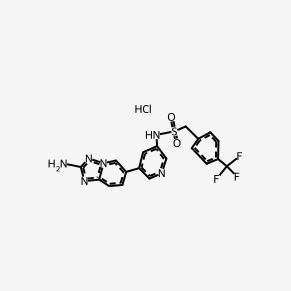 Cl.Nc1nc2ccc(-c3cncc(NS(=O)(=O)Cc4ccc(C(F)(F)F)cc4)c3)cn2n1